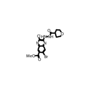 COC(=O)c1cc2nc(Cl)c(NNC(=O)C3CCOCC3)nc2cc1Br